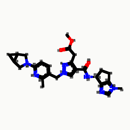 COC(=O)Cc1nn(Cc2ccc(N3CC4CC4C3)nc2C)cc1C(=O)N[C@@H]1CCc2c1ncn2C